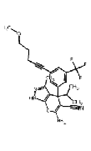 COCCCC#Cc1cc(C(F)(F)F)cc(C2(C(C)C)C(C#N)=C(N)Oc3[nH]nc(C)c32)c1